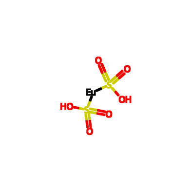 O=[S](=O)(O)[Eu][S](=O)(=O)O